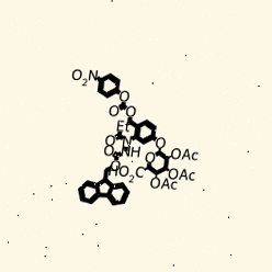 CCC(=O)N(NC(=O)OCC1c2ccccc2-c2ccccc21)c1cc(O[C@@H]2O[C@H](C(=O)O)[C@@H](OC(C)=O)[C@H](OC(C)=O)[C@H]2OC(C)=O)ccc1COC(=O)Oc1ccc([N+](=O)[O-])cc1